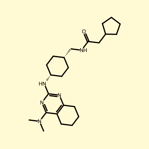 CN(C)c1nc(N[C@H]2CC[C@@H](CNC(=O)CC3CCCC3)CC2)nc2c1CCCC2